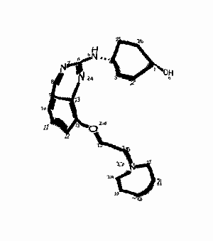 O[C@H]1CC[C@H](Nc2ncc3cccc(OCCN4CCCCC4)c3n2)CC1